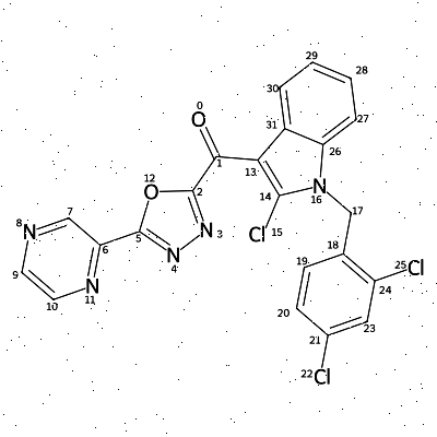 O=C(c1nnc(-c2cnccn2)o1)c1c(Cl)n(Cc2ccc(Cl)cc2Cl)c2ccccc12